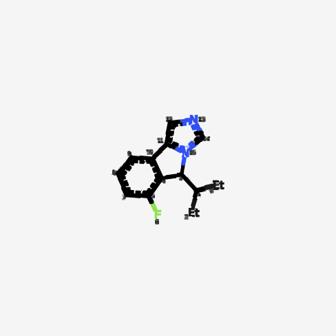 CCC(CC)C1c2c(F)cccc2-c2cncn21